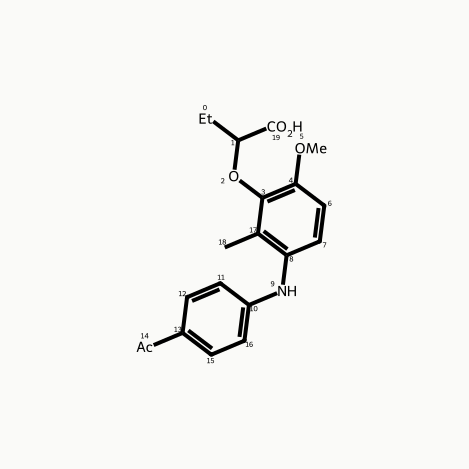 CCC(Oc1c(OC)ccc(Nc2ccc(C(C)=O)cc2)c1C)C(=O)O